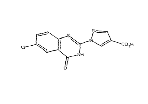 O=C(O)c1cnn(-c2nc3ccc(Cl)cc3c(=O)[nH]2)c1